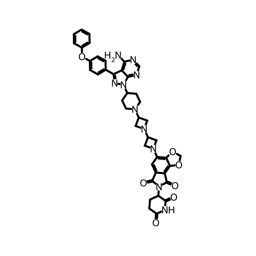 Nc1ncnc2c1c(-c1ccc(Oc3ccccc3)cc1)nn2C1CCN(C2CN(C3CN(c4cc5c(c6c4OCO6)C(=O)N(C4CCC(=O)NC4=O)C5=O)C3)C2)CC1